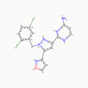 Nc1ccnc(-c2cc(-c3ccon3)n(Cc3cc(F)ccc3F)n2)n1